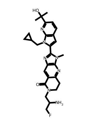 Cn1c(-c2cc3ccc(C(C)(C)O)nc3n2CC2CC2)nc2cc3c(nc21)CCN(CC(N)CF)C3=O